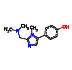 CN(C)Cc1ncc(-c2ccc(O)cc2)n1C